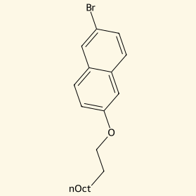 CCCCCCCCCCOc1ccc2cc(Br)ccc2c1